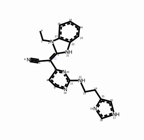 CCN1/C(=C(\C#N)c2ccnc(NCCc3c[nH]cn3)n2)Nc2ccccc21